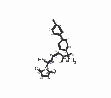 Cc1ccc(-c2ccc(C(C)(P)C(C)/C=C\C=C(/S)N3C(=O)C=CC3=O)cc2)cc1